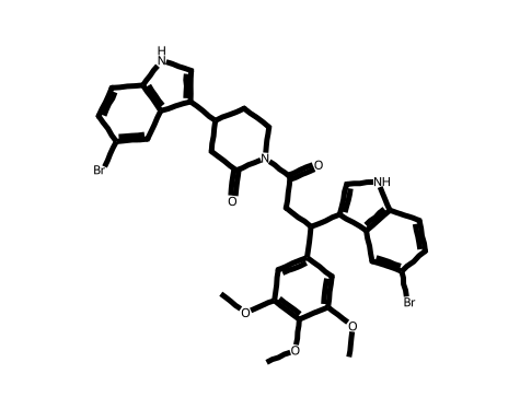 COc1cc(C(CC(=O)N2CCC(c3c[nH]c4ccc(Br)cc34)CC2=O)c2c[nH]c3ccc(Br)cc23)cc(OC)c1OC